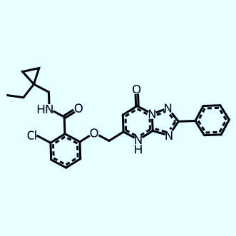 CCC1(CNC(=O)c2c(Cl)cccc2OCc2cc(=O)n3nc(-c4ccccc4)nc3[nH]2)CC1